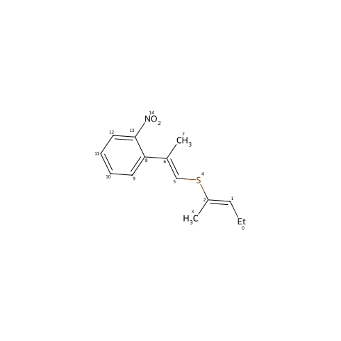 CC/C=C(\C)S/C=C(\C)c1ccccc1[N+](=O)[O-]